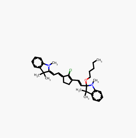 CCCCCOC1(/C=C/C2=C(Cl)C(=C/C=C3\N(C)c4ccccc4C3(C)C)/CC2)N(C)c2ccccc2C1(C)C